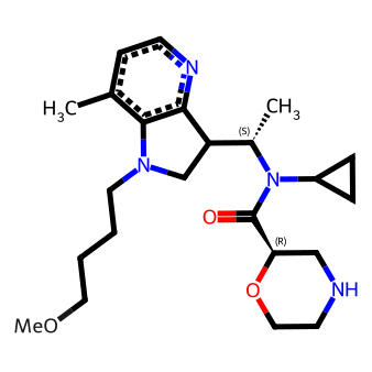 COCCCCN1CC([C@H](C)N(C(=O)[C@H]2CNCCO2)C2CC2)c2nccc(C)c21